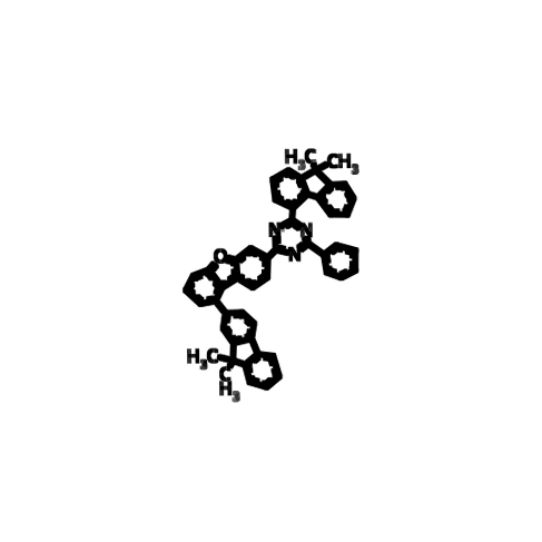 CC1(C)c2ccccc2-c2ccc(-c3cccc4oc5cc(-c6nc(-c7ccccc7)nc(-c7cccc8c7-c7ccccc7C8(C)C)n6)ccc5c34)cc21